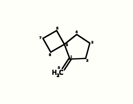 C=C1CCCC12CCC2